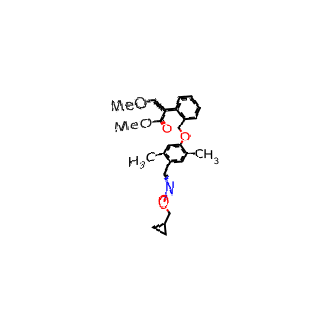 COC=C(C(=O)OC)c1ccccc1COc1cc(C)c(C=NOCC2CC2)cc1C